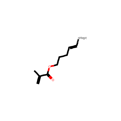 C=C(C)C(=O)OCCCC=CCCCCCCC